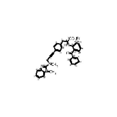 CCOC(=O)[C@H](Cc1ccc(C#CCN(C)c2nc3ccccc3n2C)cc1)Nc1ccccc1C(=O)c1ccccc1